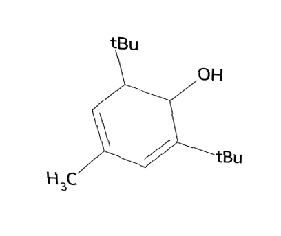 CC1=CC(C(C)(C)C)C(O)C(C(C)(C)C)=C1